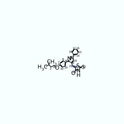 CC(C)CCOc1ccc(-c2nn(-c3ccccc3)cc2/C=C2\SC(=S)NC2=O)cc1